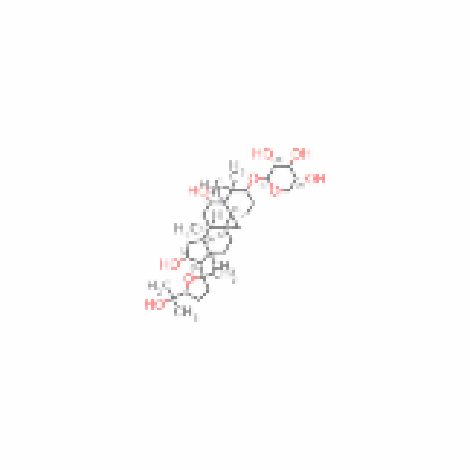 CC(C)(O)C1CCC(C)([C@H]2[C@@H](O)C[C@@]3(C)[C@@H]4C[C@H](O)[C@H]5C(C)(C)C(O[C@@H]6OC[C@@H](O)C(O)[C@H]6O)CC[C@@]56C[C@@]46CC[C@]23C)O1